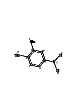 CCN(CC)c1ccc(C(C)(C)C)c(C(C)(C)C)c1